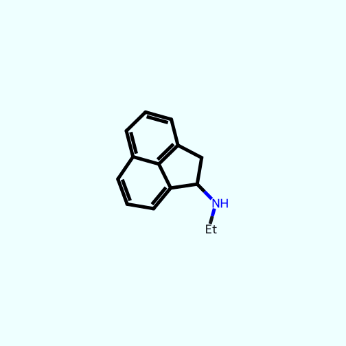 CCNC1Cc2cccc3cccc1c23